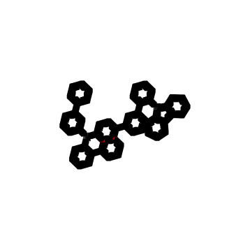 c1ccc(-c2cccc(N(c3ccc(-c4cccc(-c5ccccc5-n5c6ccccc6c6ccccc65)c4)cc3)c3ccccc3-c3ccccc3)c2)cc1